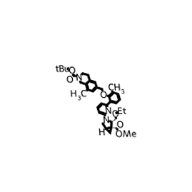 CCOC[C@H]1N(c2cccc(-c3cccc(C)c3OCc3cc(C)c4c(c3)CCN(C(=O)OC(C)(C)C)C4)n2)C[C@@H]2C[C@@]21C(=O)OC